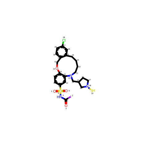 O=C(I)NS(=O)(=O)c1ccc2c(c1)N(CC1CCN(S)C1)CCCCc1cc(Cl)ccc1CO2